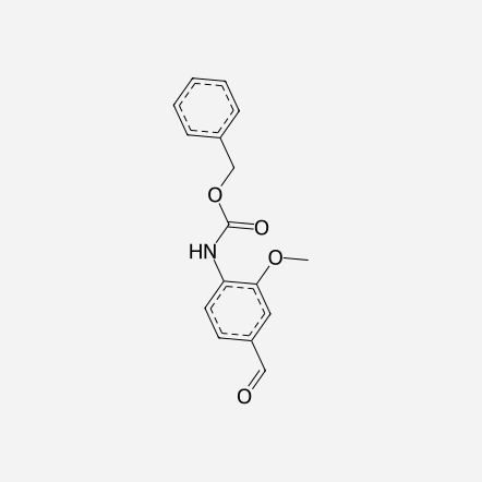 COc1cc(C=O)ccc1NC(=O)OCc1ccccc1